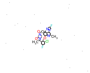 CC(=O)N1CCN([C@@H](C)c2cc(F)cc(Cl)c2COc2cccc3c(-n4cc(F)cn4)cc(C)nc23)C(=O)C1